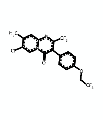 Cc1cc2nc(C(F)(F)F)c(-c3ccc(OCC(F)(F)F)cc3)c(=O)n2cc1Cl